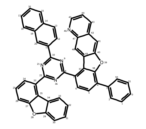 c1ccc(-c2ccc(-c3nc(-c4ccc5ccccc5c4)nc(-c4cccc5oc6ccccc6c45)n3)c3c2oc2cc4cccnc4cc23)cc1